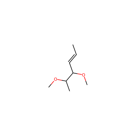 C/C=C/C(OC)C(C)OC